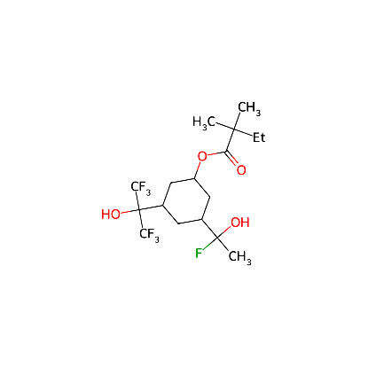 CCC(C)(C)C(=O)OC1CC(C(C)(O)F)CC(C(O)(C(F)(F)F)C(F)(F)F)C1